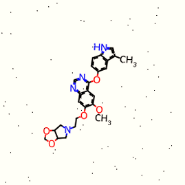 COc1cc2c(Oc3ccc4[nH]cc(C)c4c3)ncnc2cc1OCCN1CC2OCOC2C1